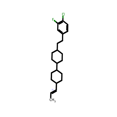 C/C=C/C1CCC(C2CCC(CCc3ccc(Cl)c(F)c3)CC2)CC1